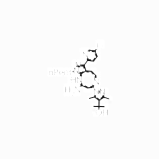 CCCCCn1nc(-c2ccc(F)cn2)c2ccnc(-n3nc(C)c(C(C)(C)O)c3C)cc(N)[nH]c21